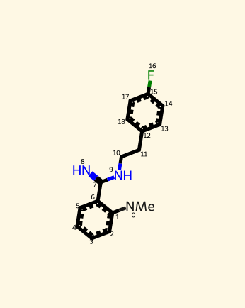 CNc1ccccc1C(=N)NCCc1ccc(F)cc1